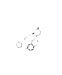 Cc1ccc(O[C@H]2CCC[C@@H]2NCC(C)C)cc1CN(C=O)C1CCC(=O)NC1=O